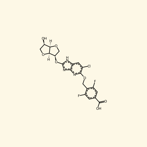 O=C(O)c1cc(F)c(COc2nc3nc(O[C@@H]4CO[C@H]5[C@@H]4OC[C@H]5O)[nH]c3cc2Cl)c(F)c1